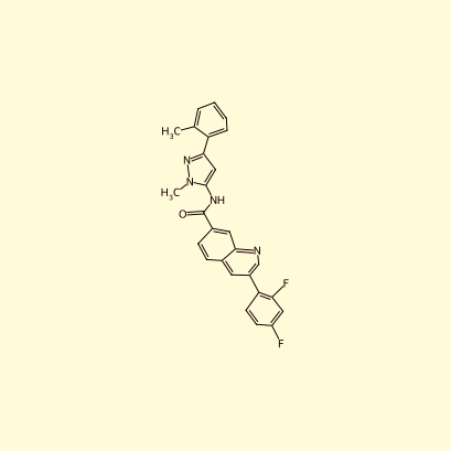 Cc1ccccc1-c1cc(NC(=O)c2ccc3cc(-c4ccc(F)cc4F)cnc3c2)n(C)n1